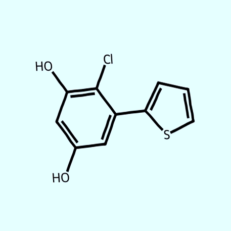 Oc1cc(O)c(Cl)c(-c2cccs2)c1